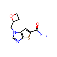 NC(=O)c1cc2c(ncn2CC2CCO2)s1